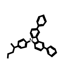 CCCC(C)c1ccc(-n2c3ccc(-c4ccccc4)cc3c3cc(-c4ccccc4)ccc32)cc1